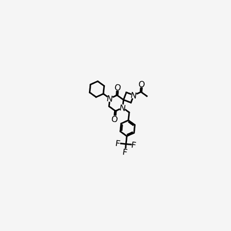 CC(=O)N1CC2(C1)C(=O)N(C1CCCCC1)CC(=O)N2Cc1ccc(C(F)(F)F)cc1